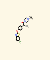 CC(C(=O)N1CCN(C)CC1)c1ccc(Oc2nc3ccc(Cl)cc3s2)cc1